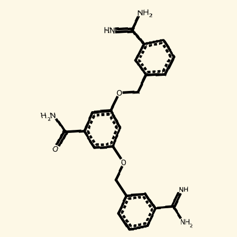 N=C(N)c1cccc(COc2cc(OCc3cccc(C(=N)N)c3)cc(C(N)=O)c2)c1